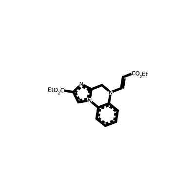 CCOC(=O)C=CN1Cc2nc(C(=O)OCC)cn2-c2ccccc21